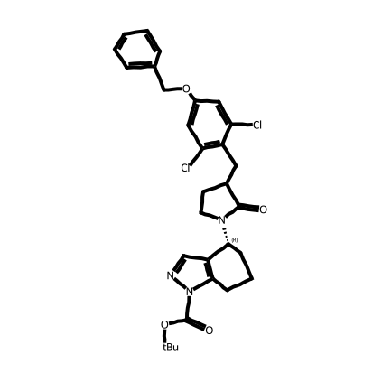 CC(C)(C)OC(=O)n1ncc2c1CCC[C@H]2N1CCC(Cc2c(Cl)cc(OCc3ccccc3)cc2Cl)C1=O